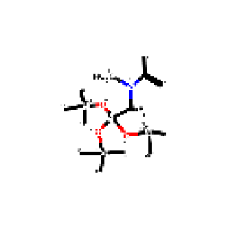 C=C(C)N(C(=O)O)C(CC)[Si](O[Si](C)(C)C)(O[Si](C)(C)C)O[Si](C)(C)C